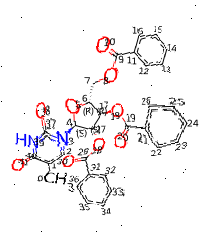 Cc1cn([C@H]2O[C@H](COC(=O)c3ccccc3)[C@@H](OC(=O)c3ccccc3)[C@@H]2OC(=O)c2ccccc2)c(=O)[nH]c1=O